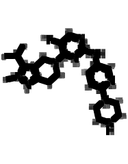 CC(C)c1c2c(nn1C)CCN(c1nc(Nc3ccc(N4CCNCC4)nc3)ncc1F)C2